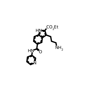 CCOC(=O)c1[nH]c2ccc(C(=O)Nc3cccnc3)cc2c1CCCN